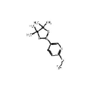 CC1(C)OB(c2ccc(OC(F)(F)F)nc2)OC1(C)C